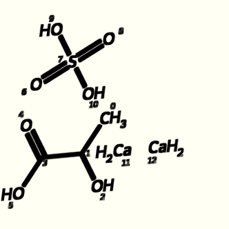 CC(O)C(=O)O.O=S(=O)(O)O.[CaH2].[CaH2]